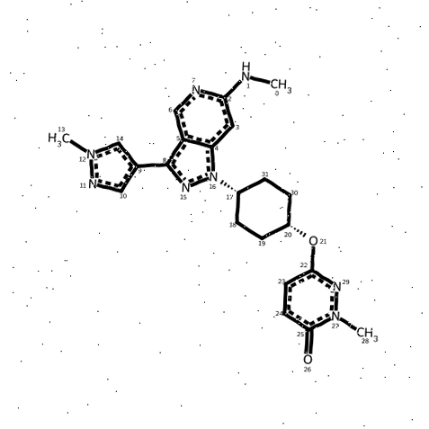 CNc1cc2c(cn1)c(-c1cnn(C)c1)nn2[C@H]1CC[C@@H](Oc2ccc(=O)n(C)n2)CC1